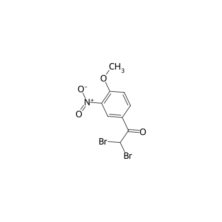 COc1ccc(C(=O)C(Br)Br)cc1[N+](=O)[O-]